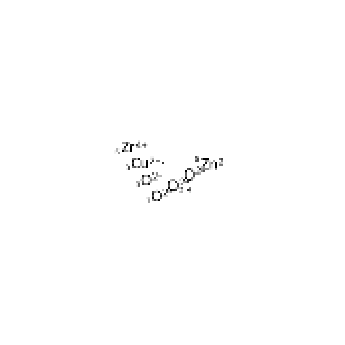 [Cu+2].[O-2].[O-2].[O-2].[O-2].[Zn+2].[Zr+4]